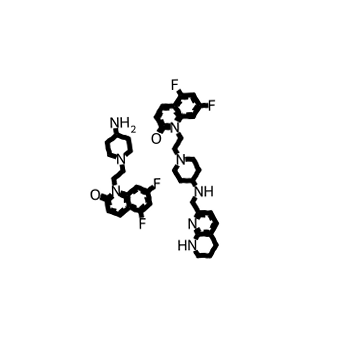 NC1CCN(CCn2c(=O)ccc3c(F)cc(F)cc32)CC1.O=c1ccc2c(F)cc(F)cc2n1CCN1CCC(NCc2ccc3c(n2)NCCC3)CC1